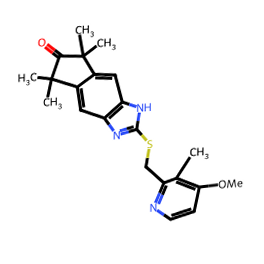 COc1ccnc(CSc2nc3cc4c(cc3[nH]2)C(C)(C)C(=O)C4(C)C)c1C